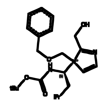 CC(C)C[C@@H](NC(=O)OC(C)(C)C)[N+]1(COCc2ccccc2)C=CN=C1CO